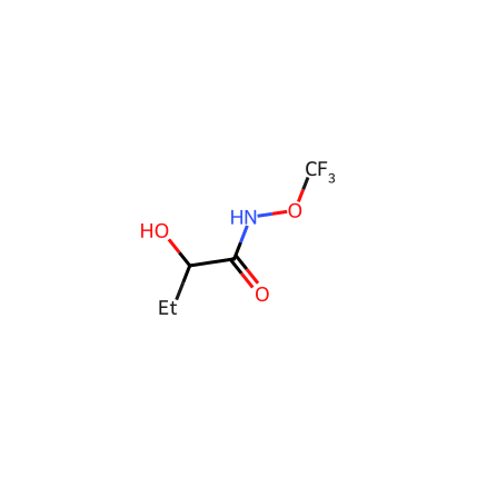 [CH2]CC(O)C(=O)NOC(F)(F)F